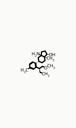 CC[C@H](COC)c1cc(C)ccc1[C@H]1CC[C@]2(C)[C@@H](O)CC[C@@]2(N)C1